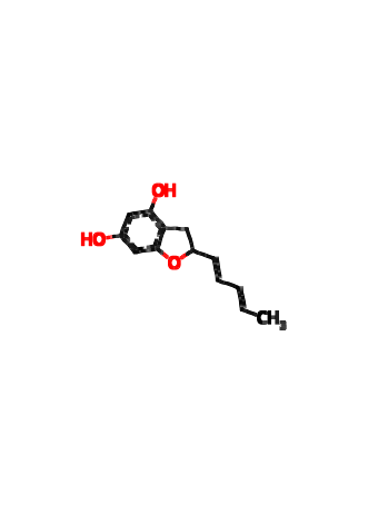 C/C=C/C=C/C1Cc2c(O)cc(O)cc2O1